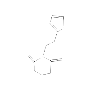 C=C1CCCC(=O)N1CCc1nccs1